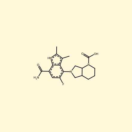 Cc1[nH]c2c(C(N)=O)cc(F)c(N3CC4CCCN(C(=O)O)C4C3)c2c1C